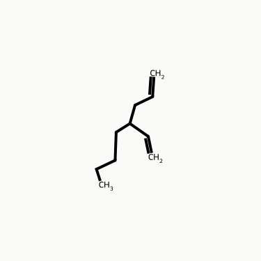 C=CCC(C=C)CCCC